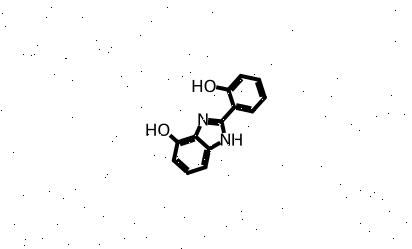 Oc1ccccc1-c1nc2c(O)cccc2[nH]1